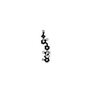 N#CC1CC(n2cccc(Cc3ccc(-n4ncn(Cc5c(F)cccc5F)c4=O)cc3)c2=O)C1